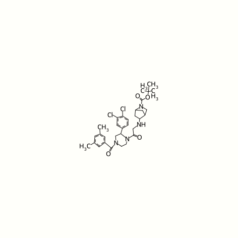 Cc1cc(C)cc(C(=O)N2CCN(C(=O)CNC3CC4CC3CN4C(=O)OC(C)(C)C)C(c3ccc(Cl)c(Cl)c3)C2)c1